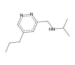 CCCc1cnnc(CNC(C)C)c1